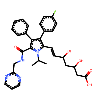 CC(C)n1c(C=CC(O)CC(O)CC(=O)O)c(-c2ccc(F)cc2)c(-c2ccccc2)c1C(=O)NCc1ncccn1